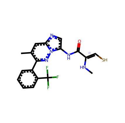 CN/C(=C\S)C(=O)Nc1cnc2cc(C)c(-c3ccccc3C(F)(F)F)nn12